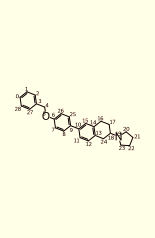 c1ccc(COc2ccc(-c3ccc4c(c3)CCC(N3CCCC3)C4)cc2)cc1